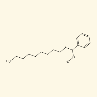 CCCCCCCCC[CH]C(O[O])c1ccccc1